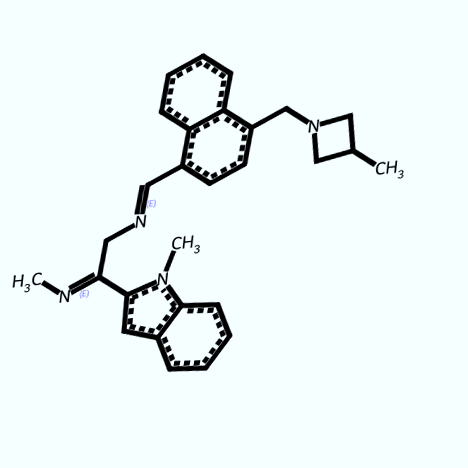 C/N=C(\C/N=C/c1ccc(CN2CC(C)C2)c2ccccc12)c1cc2ccccc2n1C